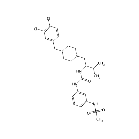 CC(C)C(CN1CCC(Cc2ccc(Cl)c(Cl)c2)CC1)NC(=O)Nc1cccc(NS(C)(=O)=O)c1